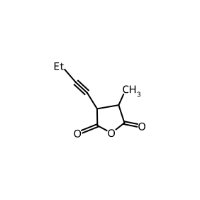 CCC#CC1C(=O)OC(=O)C1C